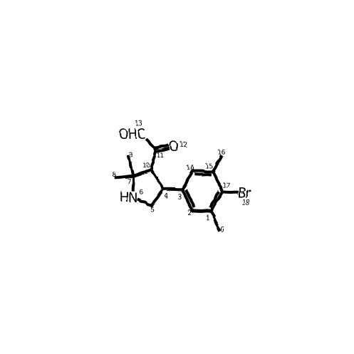 Cc1cc(C2CNC(C)(C)C2C(=O)C=O)cc(C)c1Br